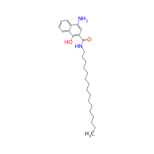 CCCCCCCCCCCCCCCCNC(=O)c1cc(N)c2ccccc2c1O